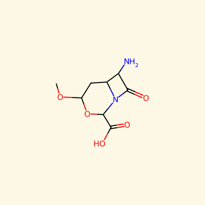 COC1CC2C(N)C(=O)N2C(C(=O)O)O1